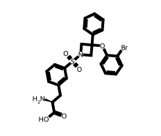 N[C@@H](Cc1cccc(S(=O)(=O)N2CC(Oc3ccccc3Br)(c3ccccc3)C2)c1)C(=O)O